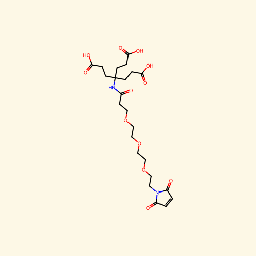 O=C(O)CCC(CCC(=O)O)(CCC(=O)O)NC(=O)CCOCCOCCOCCN1C(=O)C=CC1=O